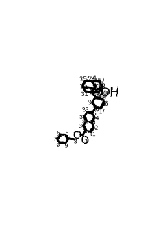 O=C(OCc1ccccc1)c1ccc2cc(-c3ccc(O)c(C45CC6CC(CC(C6)C4)C5)c3)ccc2c1